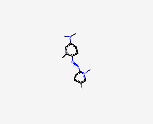 Cc1cc(N(C)C)ccc1/N=N/c1ccc(Cl)c[n+]1C